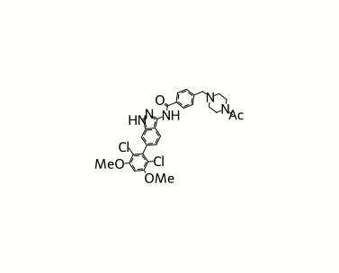 COc1cc(OC)c(Cl)c(-c2ccc3c(NC(=O)c4ccc(CN5CCN(C(C)=O)CC5)cc4)n[nH]c3c2)c1Cl